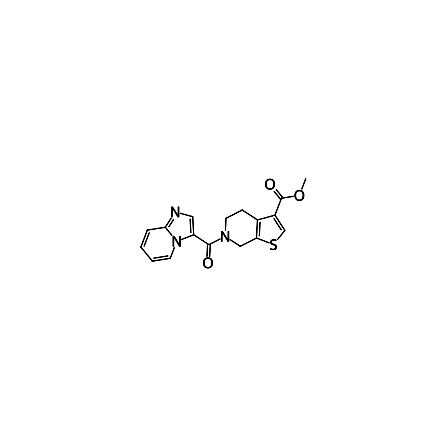 COC(=O)c1csc2c1CCN(C(=O)c1cnc3ccccn13)C2